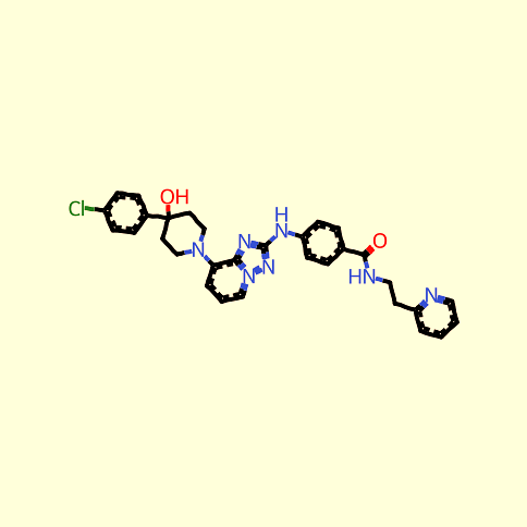 O=C(NCCc1ccccn1)c1ccc(Nc2nc3c(N4CCC(O)(c5ccc(Cl)cc5)CC4)cccn3n2)cc1